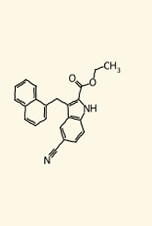 CCOC(=O)c1[nH]c2ccc(C#N)cc2c1Cc1cccc2ccccc12